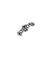 CS(=O)(=O)c1ccc(Oc2ncnc(C3CCC(Sc4ccncc4)CC3)c2[N+](=O)[O-])cc1